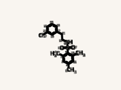 Cc1cc(C)c(S(=O)(=O)NCCc2cccc(Cl)c2)c(C)c1